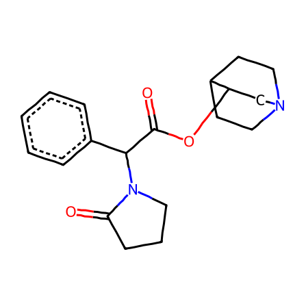 O=C(OC1CN2CCC1CC2)C(c1ccccc1)N1CCCC1=O